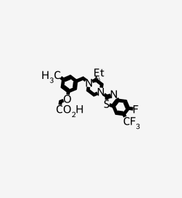 CC[C@@H]1CN(c2nc3cc(F)c(C(F)(F)F)cc3s2)CCN1Cc1cc(C)cc(OCC(=O)O)c1